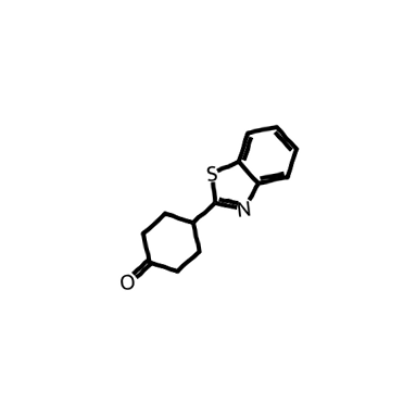 O=C1CCC(c2nc3ccccc3s2)CC1